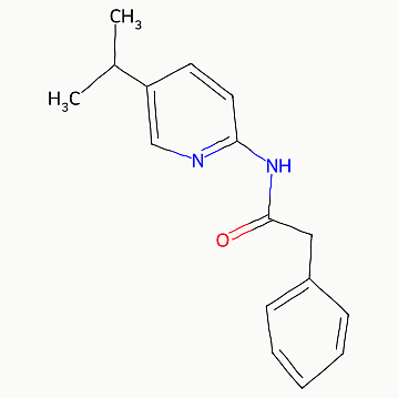 CC(C)c1ccc(NC(=O)Cc2ccccc2)nc1